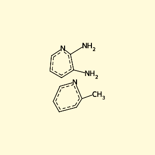 Cc1ccccn1.Nc1cccnc1N